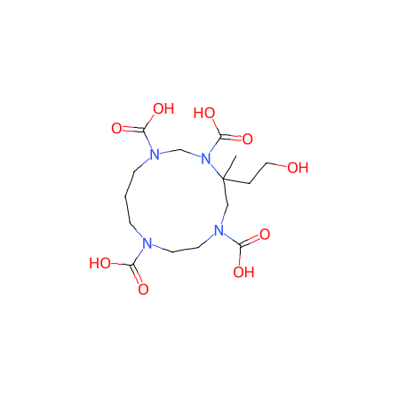 CC1(CCO)CN(C(=O)O)CCN(C(=O)O)CCCN(C(=O)O)CN1C(=O)O